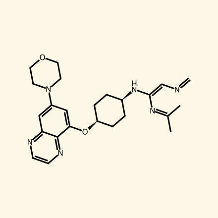 C=N/C=C(\N=C(C)C)N[C@H]1CC[C@@H](Oc2cc(N3CCOCC3)cc3nccnc23)CC1